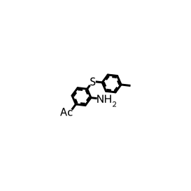 CC(=O)c1ccc(Sc2ccc(C)cc2)c(N)c1